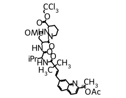 COCC(NC(=O)C(NC(=O)C(C)(C)C=Cc1ccc2ccc([C@@H](C)OC(C)=O)nc2c1)C(C)C)C(=O)N1CCCC(C(=O)OCC(Cl)(Cl)Cl)N1